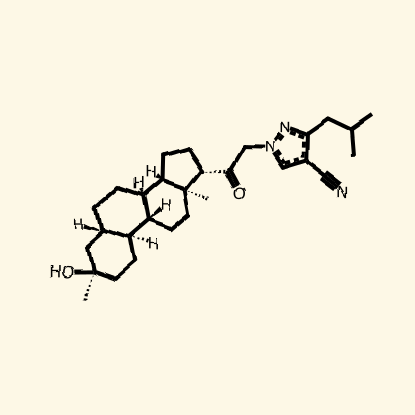 CC(C)Cc1nn(CC(=O)[C@H]2CC[C@H]3[C@@H]4CC[C@H]5C[C@](C)(O)CC[C@@H]5[C@H]4CC[C@]23C)cc1C#N